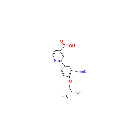 CC(C)COc1ccc(-c2cc(C(=O)O)ccn2)cc1C#N